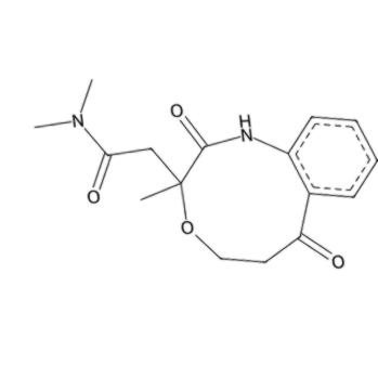 CN(C)C(=O)CC1(C)OCCC(=O)c2ccccc2NC1=O